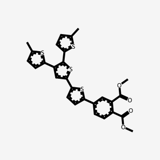 COC(=O)c1ccc(-c2ccc(-c3cc(-c4ccc(C)s4)c(-c4ccc(C)s4)s3)s2)cc1C(=O)OC